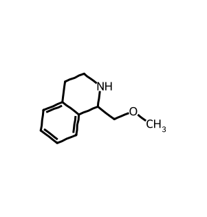 COCC1NCCc2ccccc21